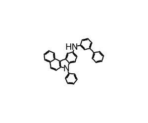 c1ccc(-c2cccc(Nc3ccc4c(c3)c3c5ccccc5ccc3n4-c3ccccc3)c2)cc1